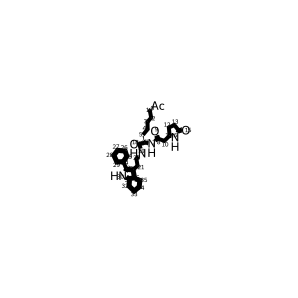 CC(=O)CCCCC[C@H](NC(=O)CC1CCC(=O)N1)C(=O)NCCc1c(-c2ccccc2)[nH]c2ccccc12